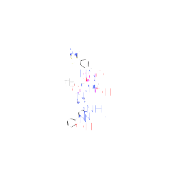 Cc1ncsc1-c1ccc(CNC(=O)[C@@H]2C[C@@H](O)CN2C(=O)C(NC(=O)N2CCN(c3cc(-c4ccccc4O)nnc3N)CC2)C(C)(C)C)cc1